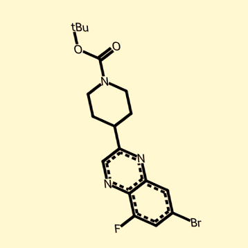 CC(C)(C)OC(=O)N1CCC(c2cnc3c(F)cc(Br)cc3n2)CC1